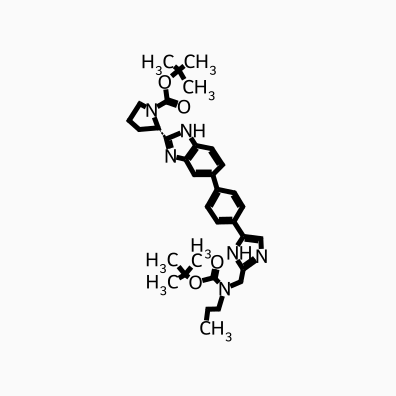 CCCN(Cc1ncc(-c2ccc(-c3ccc4[nH]c([C@@H]5CCCN5C(=O)OC(C)(C)C)nc4c3)cc2)[nH]1)C(=O)OC(C)(C)C